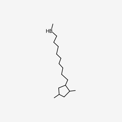 CBCCCCCCCCCC1CC(C)CC1C